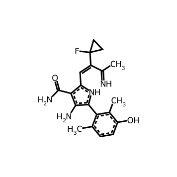 CC(=N)/C(=C\c1[nH]c(-c2c(C)ccc(O)c2C)c(N)c1C(N)=O)C1(F)CC1